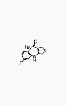 O=C1Nc2ccc(F)cc2NC2=C1CSC2